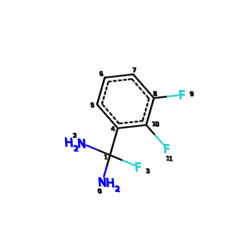 NC(N)(F)c1cccc(F)c1F